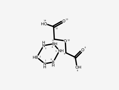 B1NBNBN1.O=C(O)COCC(=O)O